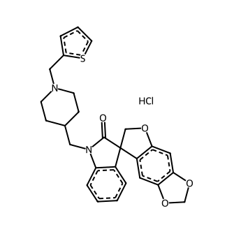 Cl.O=C1N(CC2CCN(Cc3cccs3)CC2)c2ccccc2C12COc1cc3c(cc12)OCO3